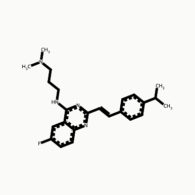 CC(C)c1ccc(C=Cc2nc(NCCCN(C)C)c3cc(F)ccc3n2)cc1